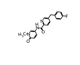 Cn1cc(NC(=O)c2ccc(Cc3ccc(F)cc3)cn2)ccc1=O